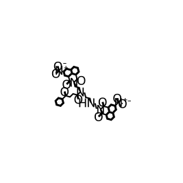 O=C(CCC(=O)N(CCCNCCN1C(=O)c2cccc3cc([N+](=O)[O-])cc(c23)C1=O)CCN1C(=O)c2cccc3cc([N+](=O)[O-])cc(c23)C1=O)c1ccccc1